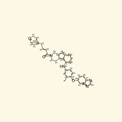 Cc1cc(Nc2ncnc3sc4c(c23)CCN(C(=O)/C=C/CN2CC3CC2CO3)C4)ccc1Oc1ccc2ncnn2c1